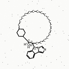 O[C@H]1C2CCC(CCCCCCCCCCCCCCCCCC[C@H]1[C@@H]1c3ccccc3-c3cncn31)CC2